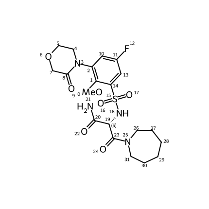 COc1c(N2CCOCC2=O)cc(F)cc1S(=O)(=O)N[C@@H](C(N)=O)C(=O)N1CCCCCC1